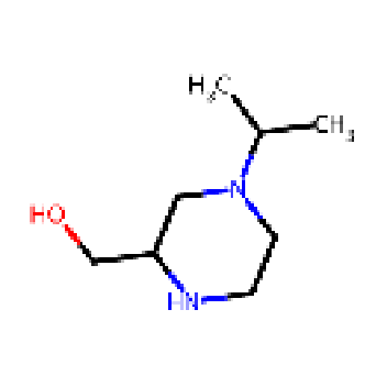 CC(C)N1CCNC(CO)C1